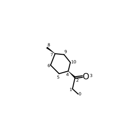 CCC(=O)[C@H]1CC[C@@H](C)CC1